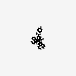 O=C1CCC(=O)C(OC(=O)c2ccc3c(c2)C(=O)OC32C3=CC4CCCN5CCCC(=C3Oc3c2cc2c6c3CCCN6CCC2)C45)CC1